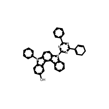 Oc1ccc2c(c1)c1c3c4ccccc4n(-c4nc(C5=CCCC=C5)nc(-c5ccccc5)n4)c3ccc1n2-c1ccccc1